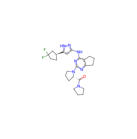 O=C([C@@H]1CCCN1c1nc2c(c(Nc3cc([C@H]4CCC(F)(F)C4)[nH]n3)n1)CCC2)N1CCCC1